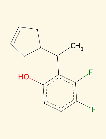 CC(c1c(O)ccc(F)c1F)C1CC=CC1